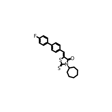 O=C1/C(=C/c2ccc(-c3ccc(F)cc3)cc2)SC(=S)N1C1CCCCCC1